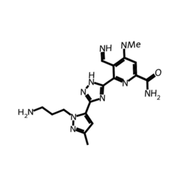 CNc1cc(C(N)=O)nc(-c2nc(-c3cc(C)nn3CCCN)n[nH]2)c1C=N